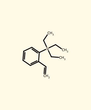 C=Cc1ccccc1[Si](CC)(CC)CC